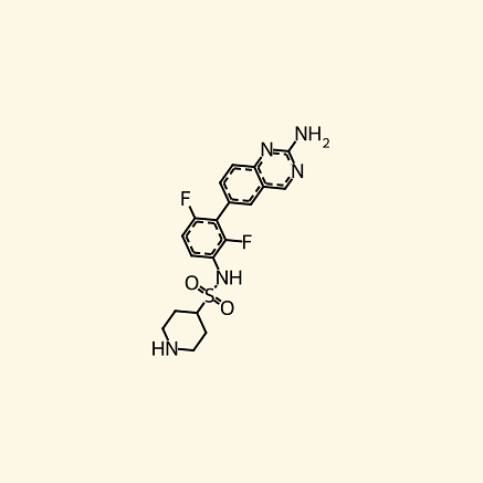 Nc1ncc2cc(-c3c(F)ccc(NS(=O)(=O)C4CCNCC4)c3F)ccc2n1